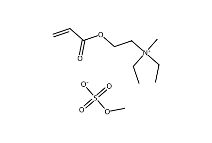 C=CC(=O)OCC[N+](C)(CC)CC.COS(=O)(=O)[O-]